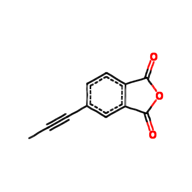 CC#Cc1ccc2c(c1)C(=O)OC2=O